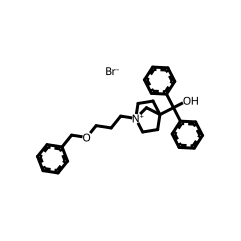 OC(c1ccccc1)(c1ccccc1)C12CC[N+](CCCOCc3ccccc3)(CC1)C2.[Br-]